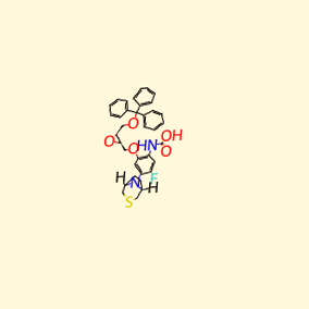 O=C(O)Nc1cc(F)c(N2[C@@H]3CC[C@H]2CSC3)cc1OC[C@H]1O[C@H]1COC(c1ccccc1)(c1ccccc1)c1ccccc1